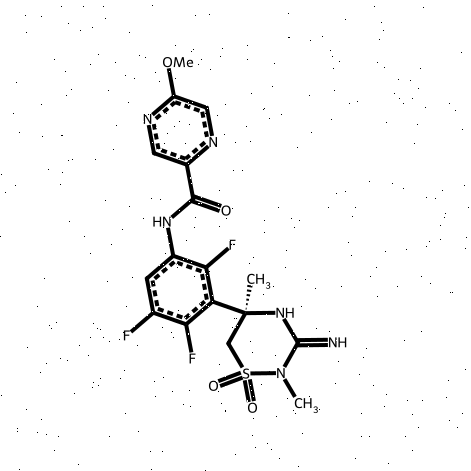 COc1cnc(C(=O)Nc2cc(F)c(F)c([C@]3(C)CS(=O)(=O)N(C)C(=N)N3)c2F)cn1